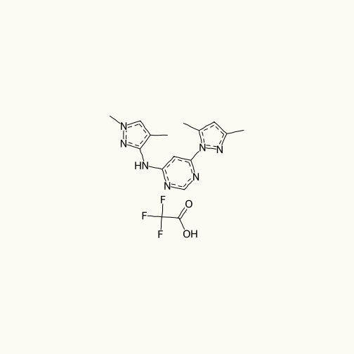 Cc1cc(C)n(-c2cc(Nc3nn(C)cc3C)ncn2)n1.O=C(O)C(F)(F)F